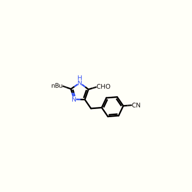 CCCCc1nc(Cc2ccc(C#N)cc2)c(C=O)[nH]1